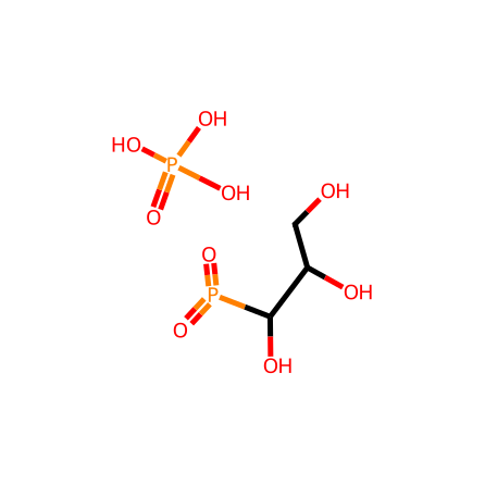 O=P(=O)C(O)C(O)CO.O=P(O)(O)O